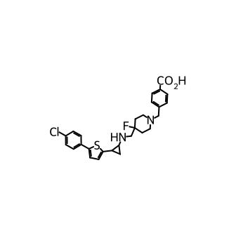 O=C(O)c1ccc(CN2CCC(F)(CNC3CC3c3ccc(-c4ccc(Cl)cc4)s3)CC2)cc1